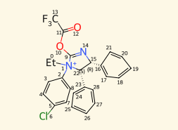 CC[N+]1(c2ccc(Cl)cc2)C(OC(=O)C(F)(F)F)=N[C@H](c2ccccc2)[C@@H]1c1ccccc1